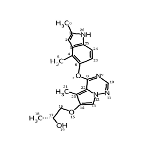 Cc1cc2c(C)c(Oc3ncnn4cc(OC[C@@H](C)O)c(C)c34)ccc2[nH]1